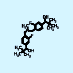 CN(Cc1ccc(C(O)C(C)(C)C)cc1F)Cc1ccc(C(O)C(C)(C)C)cc1F